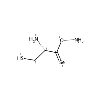 NOC(=[Se])[C@@H](N)CS